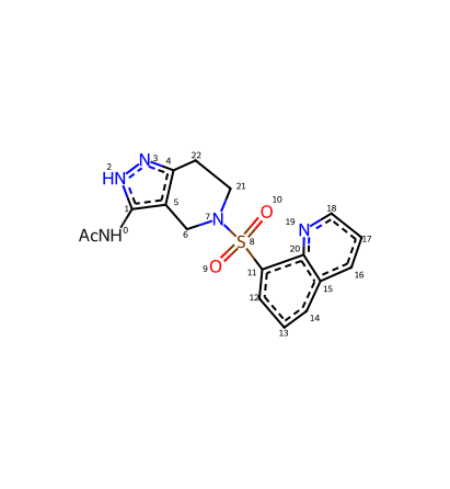 CC(=O)Nc1[nH]nc2c1CN(S(=O)(=O)c1cccc3cccnc13)CC2